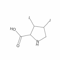 O=C(O)C1NCC(I)C1I